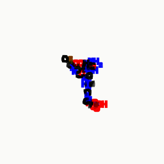 C=CC(=O)Nc1cc(Nc2nc(-c3ccnc(N4CCc5c(sc6c5CCCC6)C4=O)c3CO)cnc2C(N)=O)ccc1N1CCN(C2CCN(c3cccc(C(C)(C)OP(=O)(O)O)n3)CC2)C[C@@H]1C